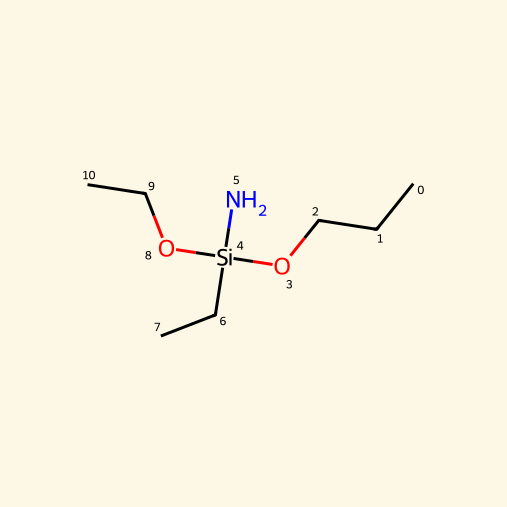 CCCO[Si](N)(CC)OCC